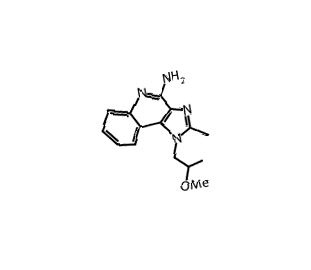 COC(C)Cn1c(C)nc2c(N)nc3ccccc3c21